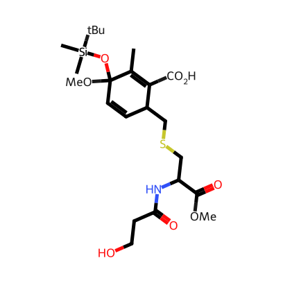 COC(=O)C(CSCC1C=CC(OC)(O[Si](C)(C)C(C)(C)C)C(C)=C1C(=O)O)NC(=O)CCO